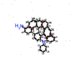 Nc1ccc(-c2ccc(N(c3ccccc3)c3ccccc3)c(-c3cccc4ccccc34)c2-c2cccc3ccccc23)cc1